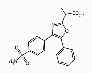 CC(C(=O)O)c1nc(-c2ccc(S(N)(=O)=O)cc2)c(-c2ccccc2)o1